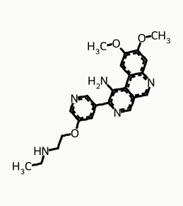 CCNCCOc1cncc(-c2ncc3cnc4cc(OC)c(OC)cc4c3c2N)c1